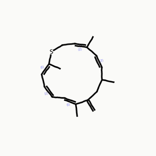 C=C1CC(C)/C=C\C(C)=C/CS/C(C)=C/C=C\C=C\1C